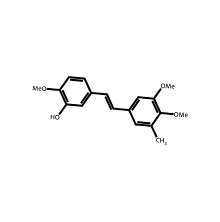 COc1ccc(C=Cc2cc(C)c(OC)c(OC)c2)cc1O